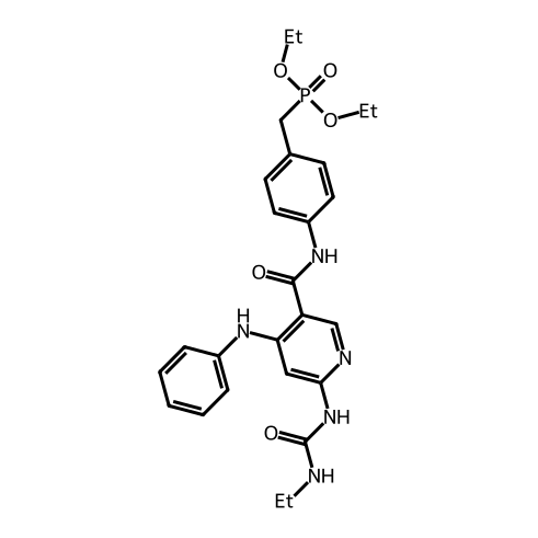 CCNC(=O)Nc1cc(Nc2ccccc2)c(C(=O)Nc2ccc(CP(=O)(OCC)OCC)cc2)cn1